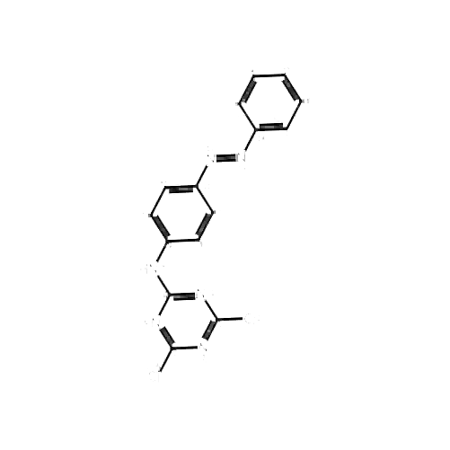 Clc1nc(Cl)nc(Nc2ccc(N=Nc3ccccc3)cc2)n1